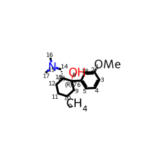 C.COc1cccc([C@@]2(O)CCCC[C@@H]2CN(C)C)c1